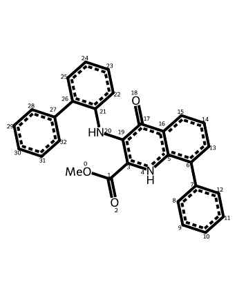 COC(=O)c1[nH]c2c(-c3ccccc3)cccc2c(=O)c1Nc1ccccc1-c1ccccc1